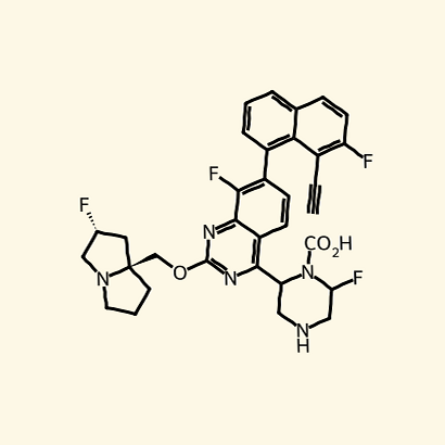 C#Cc1c(F)ccc2cccc(-c3ccc4c(C5CNCC(F)N5C(=O)O)nc(OC[C@@]56CCCN5C[C@H](F)C6)nc4c3F)c12